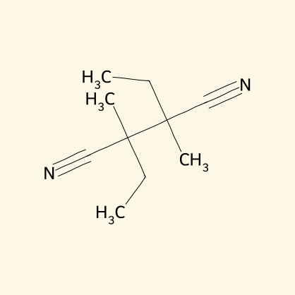 CCC(C)(C#N)C(C)(C#N)CC